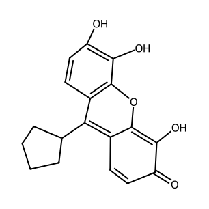 O=c1ccc2c(C3CCCC3)c3ccc(O)c(O)c3oc-2c1O